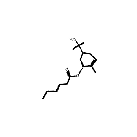 CCCCCC(=O)O[C@H]1CC(C(C)(C)O)CC=C1C